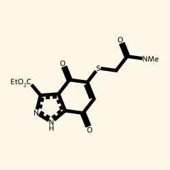 CCOC(=O)c1n[nH]c2c1C(=O)C(SCC(=O)NC)=CC2=O